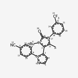 CCCCn1c(-c2ccnn2-c2ccc(C#N)cc2)c(C)n(-c2cccc(C(F)(F)F)c2)c1=O